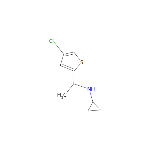 CC(NC1CC1)c1cc(Cl)cs1